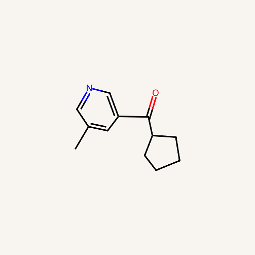 Cc1cncc(C(=O)C2CCCC2)c1